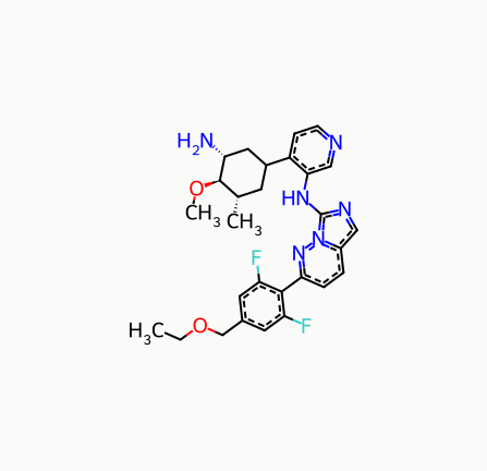 CCOCc1cc(F)c(-c2ccc3cnc(Nc4cnccc4C4C[C@@H](N)[C@H](OC)[C@@H](C)C4)n3n2)c(F)c1